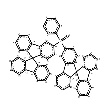 O=P(c1ccccc1)(c1ccc2c(c1)-c1ccccc1C21c2ccccc2-c2ccccc21)c1ccc2c(c1)-c1ccccc1C21c2ccccc2-c2ccccc21